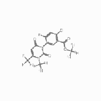 [2H]C([2H])([2H])OC(=O)c1cc(-n2c(=O)cc(C(F)(F)F)n(C([2H])([2H])[2H])c2=O)c(F)cc1Cl